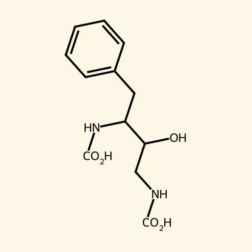 O=C(O)NCC(O)C(Cc1ccccc1)NC(=O)O